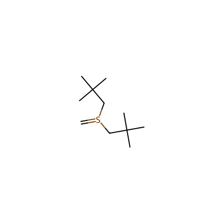 C=S(CC(C)(C)C)CC(C)(C)C